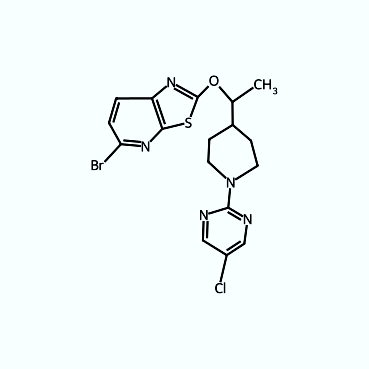 CC(Oc1nc2ccc(Br)nc2s1)C1CCN(c2ncc(Cl)cn2)CC1